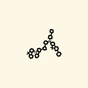 CC1(C)c2cc(-c3ccccc3)ccc2-c2ccc(N(c3ccc(-c4ccccc4)cc3)c3cccc(-c4cccc(-c5ccc6c(c5)c5ccccc5n6-c5cccc6c5-c5ccccc5C6(C)C)c4)c3)cc21